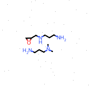 CN(C)CCCN.NCCCNCC1CO1